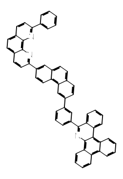 c1ccc(-c2ccc3ccc4ccc(-c5ccc6c(ccc7ccc(-c8cccc(-c9nc%10c%11ccccc%11c%11ccccc%11c%10c%10ccccc9%10)c8)cc76)c5)nc4c3n2)cc1